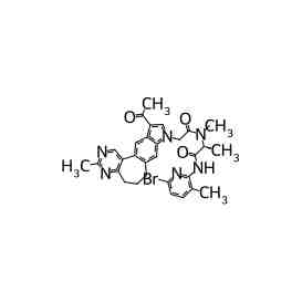 CC(=O)c1cn(CC(=O)N(C)[C@@H](C)C(=O)Nc2nc(Br)ccc2C)c2cc3c(cc12)-c1cnc(C)nc1CCC3